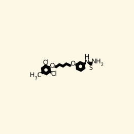 Cc1cc(Cl)c(OCCCCCOc2cccc(NC(N)=S)c2)c(Cl)c1